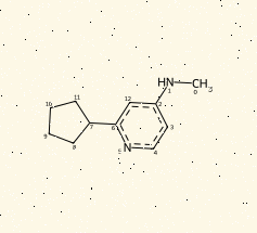 CNc1ccnc(C2CCCC2)c1